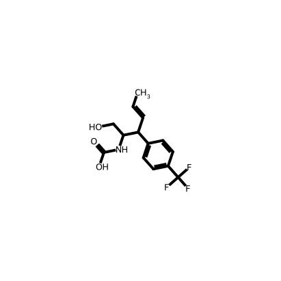 CC=CC(c1ccc(C(F)(F)F)cc1)C(CO)NC(=O)O